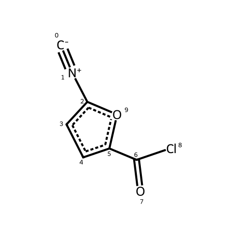 [C-]#[N+]c1ccc(C(=O)Cl)o1